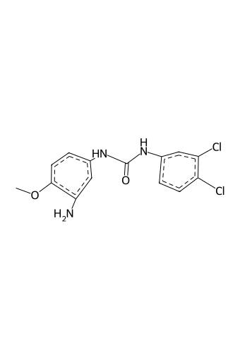 COc1ccc(NC(=O)Nc2ccc(Cl)c(Cl)c2)cc1N